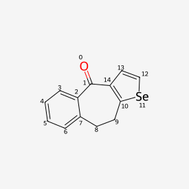 O=C1c2ccccc2CCc2[se]ccc21